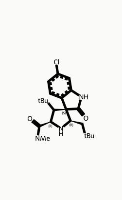 CNC(=O)[C@@H]1N[C@H](CC(C)(C)C)[C@]2(C(=O)Nc3cc(Cl)ccc32)C1C(C)(C)C